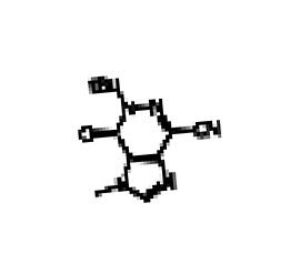 Cn1cnc2c(C#N)nn(C(C)(C)C)c(=O)c21